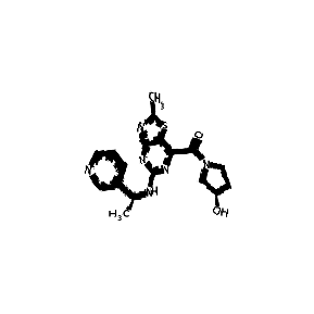 Cc1nc2nc(N[C@@H](C)c3cccnc3)nc(C(=O)N3CC[C@@H](O)C3)c2s1